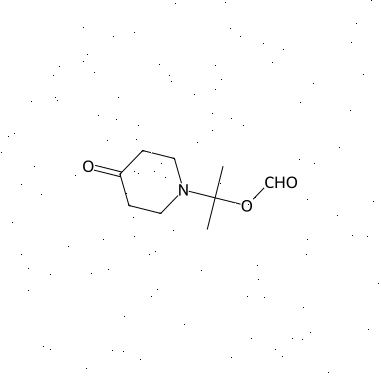 CC(C)(OC=O)N1CCC(=O)CC1